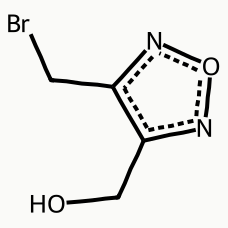 OCc1nonc1CBr